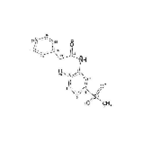 CS(=O)(=O)c1ccc2c(c1)NC(=O)C(c1ccncc1)O2